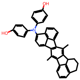 Cc1c2c(c(C)c3c1-c1cccc4c1C3CCC4)-c1cccc3c(N(c4ccc(O)cc4)c4ccc(O)cc4)ccc-2c13